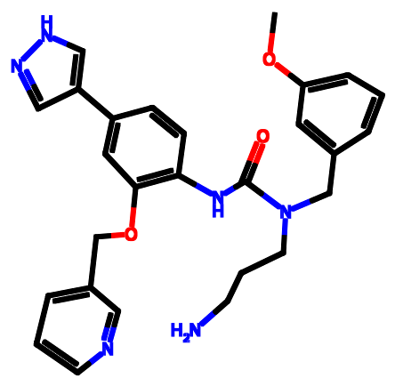 COc1cccc(CN(CCCN)C(=O)Nc2ccc(-c3cn[nH]c3)cc2OCc2cccnc2)c1